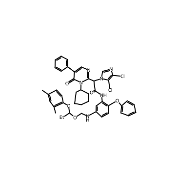 CCC(OCNc1ccc(Oc2ccccc2)c(NC(=O)C(c2ncc(-c3ccccc3)c(=O)n2C2CCCCC2)n2cnc(Cl)c2Cl)c1)Oc1ccc(C)cc1C